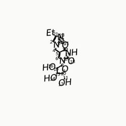 CCc1cn(Cc2cn([C@@H]3O[C@H](CO)C(O)[C@@H]3O)c(=O)[nH]c2=O)nn1